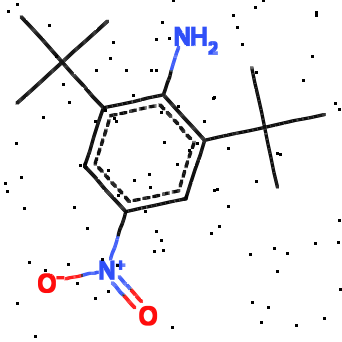 CC(C)(C)c1cc([N+](=O)[O-])cc(C(C)(C)C)c1N